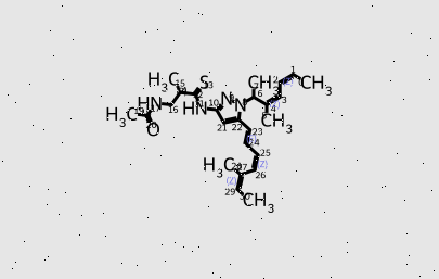 C/C=C\C=C(\C)C(C)n1nc(NC(=S)[C@H](C)CNC(C)=O)cc1/C=C/C=C\C(C)=C/C